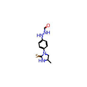 CC1CN(c2ccc(NNC=O)cc2)C(=S)N1